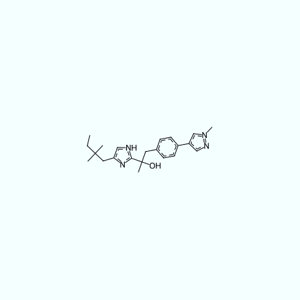 CCC(C)(C)Cc1c[nH]c(C(C)(O)Cc2ccc(-c3cnn(C)c3)cc2)n1